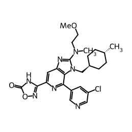 COCCN(C)c1nc2cc(-c3noc(=O)[nH]3)nc(-c3cncc(Cl)c3)c2n1C[C@H]1CC[C@H](C)CC1